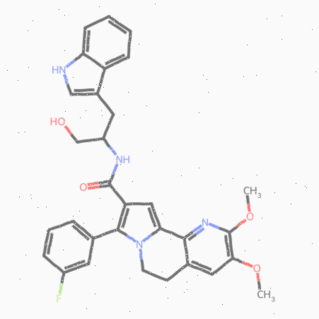 COc1cc2c(nc1OC)-c1cc(C(=O)NC(CO)Cc3c[nH]c4ccccc34)c(-c3cccc(F)c3)n1CC2